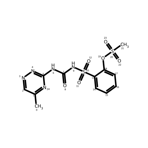 Cc1cnnc(NC(=O)NS(=O)(=O)c2ccccc2OS(C)(=O)=O)n1